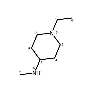 CCN1CCC(NC)CC1